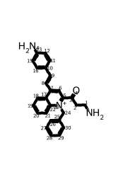 NCCC(=O)c1cc(C=Cc2ccc(N)cc2)c2ccccc2[n+]1Cc1ccccc1